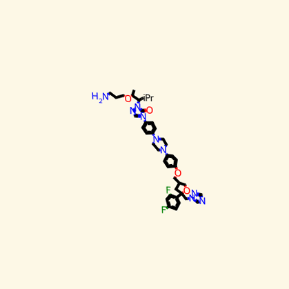 CC(C)C(C(C)OCCCN)n1ncn(-c2ccc(N3CCN(c4ccc(OCC5COC(Cn6cncn6)(c6ccc(F)cc6F)C5)cc4)CC3)cc2)c1=O